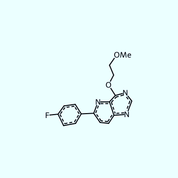 COCCOc1ncnc2ccc(-c3ccc(F)cc3)nc12